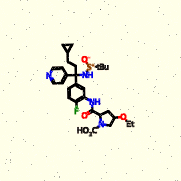 CCOC1CC(C(=O)Nc2cc(C(CCC3CC3)(N[S@+]([O-])C(C)(C)C)c3ccncc3)ccc2F)N(C(=O)O)C1